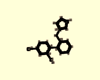 Clc1ccc(-c2ccccc2Cn2ccnc2)c(Cl)c1